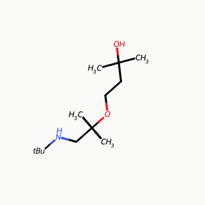 CC(C)(O)CCOC(C)(C)CNC(C)(C)C